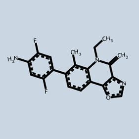 C=C1c2ncoc2-c2ccc(-c3cc(F)c(N)cc3F)c(C)c2N1CC